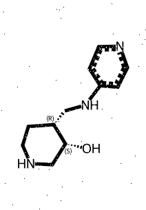 O[C@@H]1CNCC[C@@H]1CNc1ccncc1